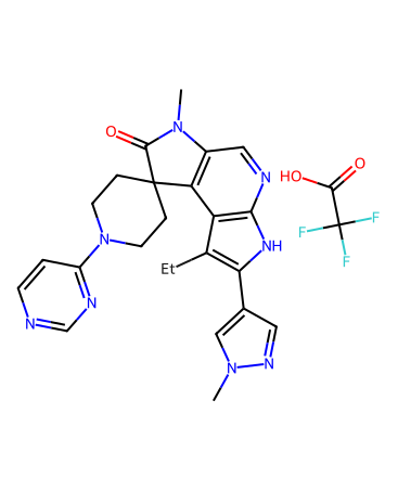 CCc1c(-c2cnn(C)c2)[nH]c2ncc3c(c12)C1(CCN(c2ccncn2)CC1)C(=O)N3C.O=C(O)C(F)(F)F